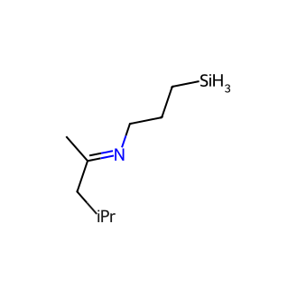 CC(CC(C)C)=NCCC[SiH3]